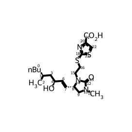 CCCC[C@H](C)C[C@H](O)C=C[C@H]1CN(C)C(=O)N1CCSc1nc(C(=O)O)cs1